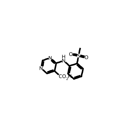 CS(=O)(=O)c1ccccc1Nc1ncncc1C(=O)O